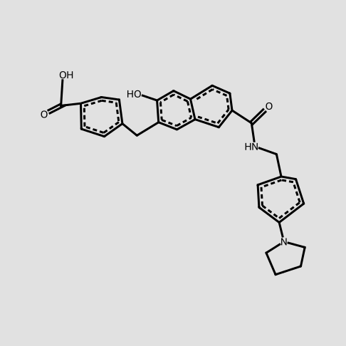 O=C(O)c1ccc(Cc2cc3cc(C(=O)NCc4ccc(N5CCCC5)cc4)ccc3cc2O)cc1